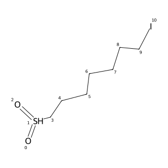 O=[SH](=O)CCCCCCCI